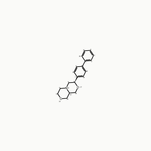 c1ccc(-c2ccc([C@@H]3CN4CCOCC4CO3)cc2)cc1